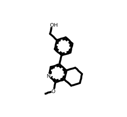 COc1ncc(-c2cccc(CO)c2)c2c1CCCC2